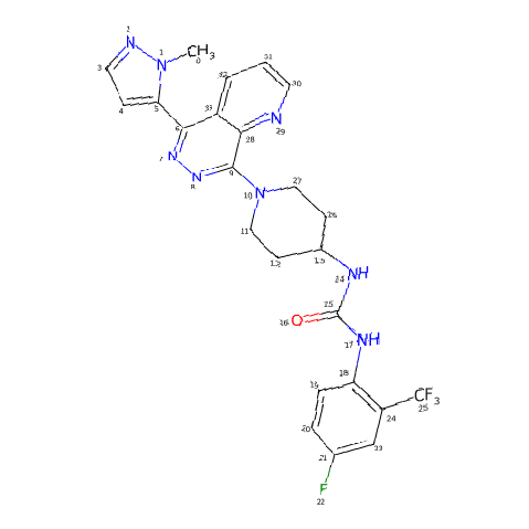 Cn1nccc1-c1nnc(N2CCC(NC(=O)Nc3ccc(F)cc3C(F)(F)F)CC2)c2ncccc12